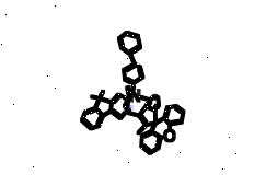 C=C/C=C\C1=C(C)C2(c3ccccc3Oc3ccccc32)c2cccc(N(c3ccc(-c4ccccc4)cc3)c3ccc4c(c3)C(C)(C)c3ccccc3-4)c21